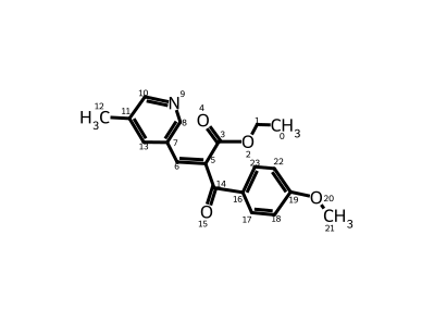 CCOC(=O)/C(=C\c1cncc(C)c1)C(=O)c1ccc(OC)cc1